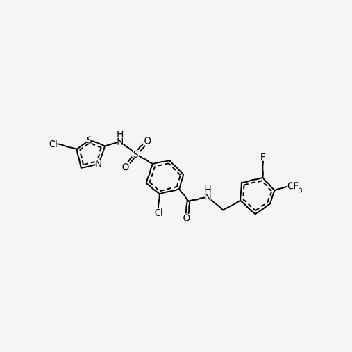 O=C(NCc1ccc(C(F)(F)F)c(F)c1)c1ccc(S(=O)(=O)Nc2ncc(Cl)s2)cc1Cl